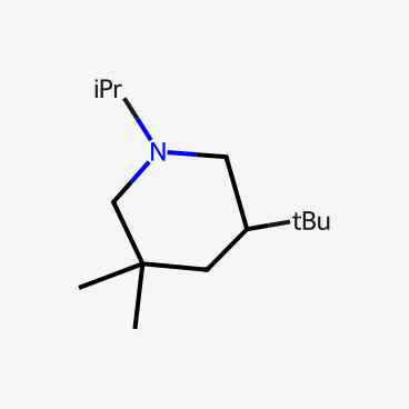 CC(C)N1CC(C(C)(C)C)CC(C)(C)C1